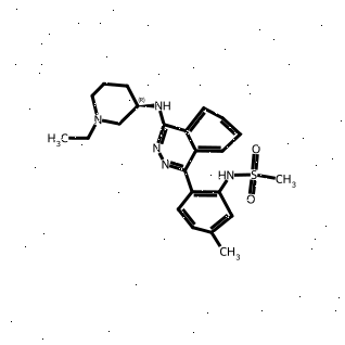 CCN1CCC[C@@H](Nc2nnc(-c3ccc(C)cc3NS(C)(=O)=O)c3ccccc23)C1